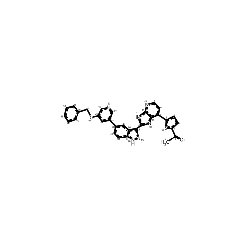 CC(=O)c1ccc(-c2ccnc3[nH]c(-c4n[nH]c5ccc(-c6cncc(OCc7ccccc7)c6)cc45)nc23)s1